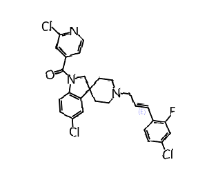 O=C(c1ccnc(Cl)c1)N1CC2(CCN(C/C=C/c3ccc(Cl)cc3F)CC2)c2cc(Cl)ccc21